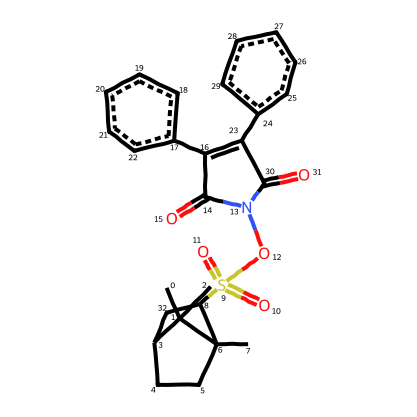 CC1(C)C2CCC1(C)C(S(=O)(=O)ON1C(=O)C(c3ccccc3)=C(c3ccccc3)C1=O)C2